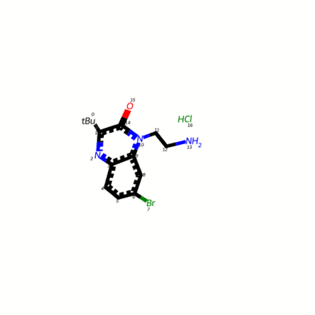 CC(C)(C)c1nc2ccc(Br)cc2n(CCN)c1=O.Cl